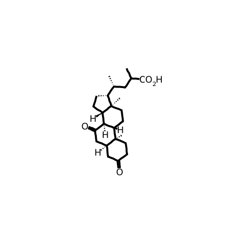 CC(C[C@@H](C)[C@H]1CC[C@H]2[C@@H]3C(=O)C[C@@H]4CC(=O)CC[C@]4(C)[C@H]3CC[C@]12C)C(=O)O